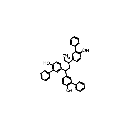 CCC(CC(c1ccc(O)c(-c2ccccc2)c1)c1ccc(O)c(-c2ccccc2)c1)c1ccc(O)c(-c2ccccc2)c1